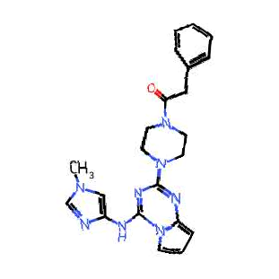 Cn1cnc(Nc2nc(N3CCN(C(=O)Cc4ccccc4)CC3)nc3cccn23)c1